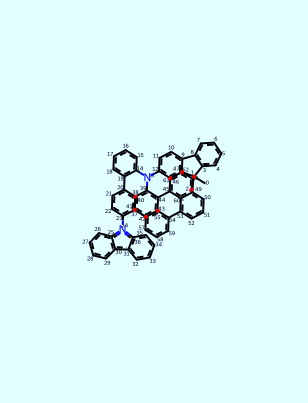 CC1(C)c2ccccc2-c2ccc(N(c3ccccc3-c3ccc(-n4c5ccccc5c5ccccc54)cc3)c3ccccc3-c3cccc4cccc(-c5ccccc5)c34)cc21